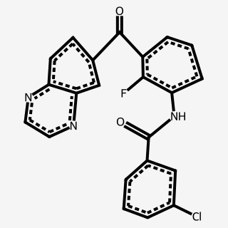 O=C(Nc1cccc(C(=O)c2ccc3nccnc3c2)c1F)c1cccc(Cl)c1